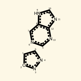 c1conn1.c1ncc2[nH]cnc2n1